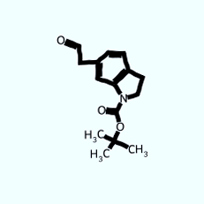 CC(C)(C)OC(=O)N1CCc2ccc(CC=O)cc21